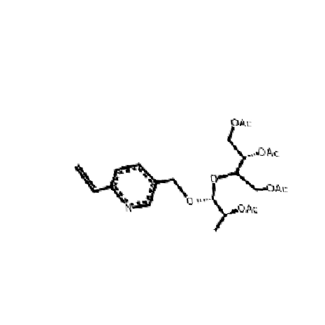 C=Cc1ccc(CO[C@H](OC(COC(C)=O)[C@H](COC(C)=O)OC(C)=O)[C@H](C)OC(C)=O)cn1